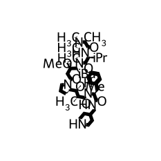 CC[C@H](C)[C@@H]([C@@H](CC(=O)N1CCC[C@H]1[C@H](OC)[C@@H](C)C(=O)N[C@@H](Cc1ccccc1)C(=O)NCC1CCNCC1)OC)N(C)C(=O)[C@@H](NC(=O)[C@H](C)N(C)C)C(C)C